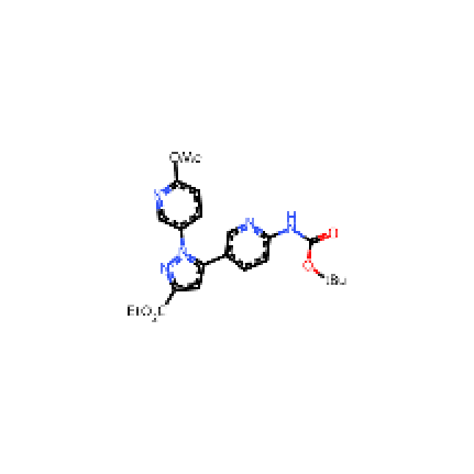 CCOC(=O)c1cc(-c2ccc(NC(=O)OC(C)(C)C)nc2)n(-c2ccc(OC)nc2)n1